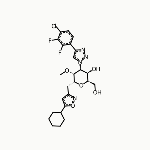 CO[C@@H]1[C@@H](n2cc(-c3ccc(Cl)c(F)c3F)nn2)[C@@H](O)[C@@H](CO)O[C@@H]1Cc1cc(C2CCCCC2)on1